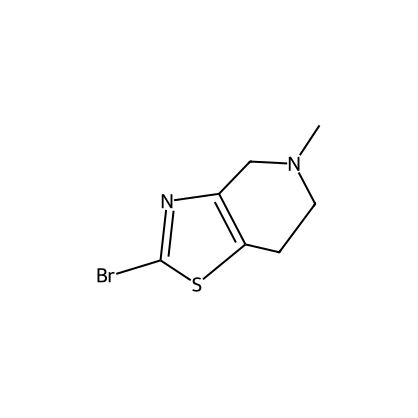 CN1CCc2sc(Br)nc2C1